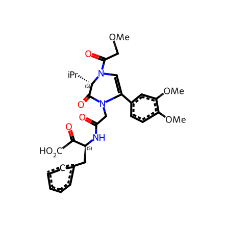 COCC(=O)N1C=C(c2ccc(OC)c(OC)c2)N(CC(=O)N[C@@H](Cc2ccccc2)C(=O)C(=O)O)C(=O)[C@@H]1C(C)C